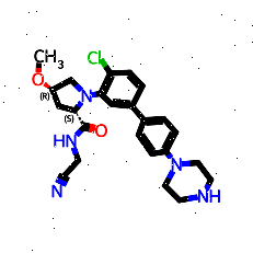 CO[C@@H]1C[C@@H](C(=O)NCC#N)N(c2cc(-c3ccc(N4CCNCC4)cc3)ccc2Cl)C1